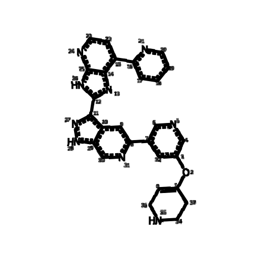 C1=C(Oc2cncc(-c3cc4c(-c5nc6c(-c7ccccn7)ccnc6[nH]5)n[nH]c4cn3)c2)CCNC1